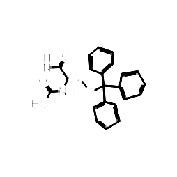 NC(=O)[C@H](CSC(c1ccccc1)(c1ccccc1)c1ccccc1)NC(=O)O